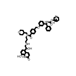 O=C(NC(c1ccccc1)c1cccc(OCc2ccc(C(=O)N(CCCNC[C@@H](O)c3ccc(O)c4[nH]c(=O)ccc34)CC3CCOCC3)cc2)c1)O[C@H]1CN2CCC1CC2